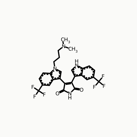 CN(C)CCCn1cc(C2=C(c3c[nH]c4ccc(C(F)(F)F)cc34)C(=O)NC2=O)c2cc(C(F)(F)F)ccc21